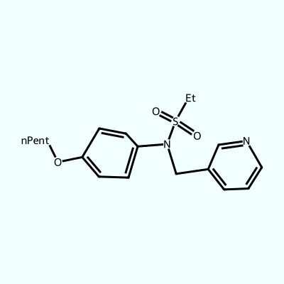 CCCCCOc1ccc(N(Cc2cccnc2)S(=O)(=O)CC)cc1